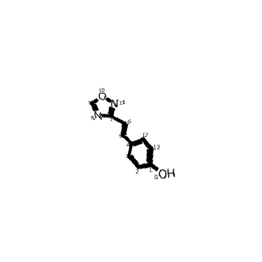 Oc1ccc(C=Cc2ncon2)cc1